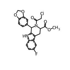 COC(=O)C1Cc2c([nH]c3ccc(F)cc23)C(c2ccc3c(c2)OCO3)N1C(=O)CCl